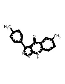 Cc1ccc(-c2nsc3[nH]c4ccc(C)cc4c(=O)c23)cc1